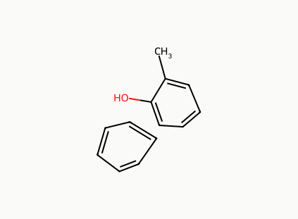 Cc1ccccc1O.c1ccccc1